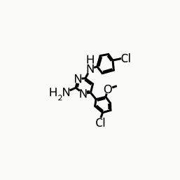 COc1ccc(Cl)cc1-c1cc(Nc2ccc(Cl)cc2)nc(N)n1